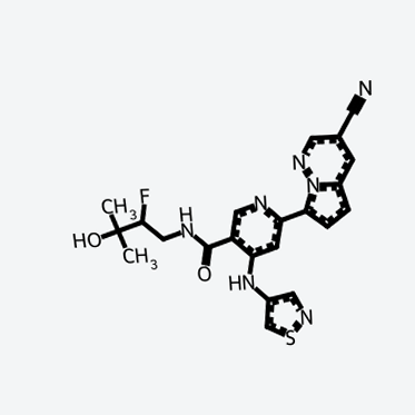 CC(C)(O)C(F)CNC(=O)c1cnc(-c2ccc3cc(C#N)cnn23)cc1Nc1cnsc1